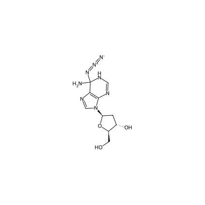 [N-]=[N+]=NC1(N)NC=Nc2c1ncn2[C@H]1C[C@H](O)[C@@H](CO)O1